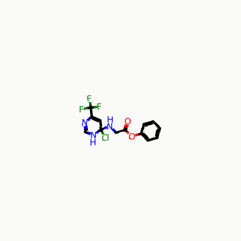 O=C(CNC1(Cl)C=C(C(F)(F)F)N=CN1)Oc1ccccc1